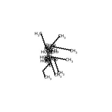 CCCCCCCCCCCCCCCC(=O)OC(CCCCCCCCCCC)CC(=O)NC1[C@@H](OP(C)(=O)O)OC(CO[C@@H]2OC(CO)[C@@H](OP(=O)(O)O)[C@H](OC(=O)CC(CCCCCCCCCCC)OC(=O)CCCCCCCCCCCCC)C2NC(=O)CC(CCCCCCCCCCC)OC(=O)CCCCCCCCCCC)[C@@H](O)[C@@H]1OC(=O)CC(O)CCCCCCCCCCC